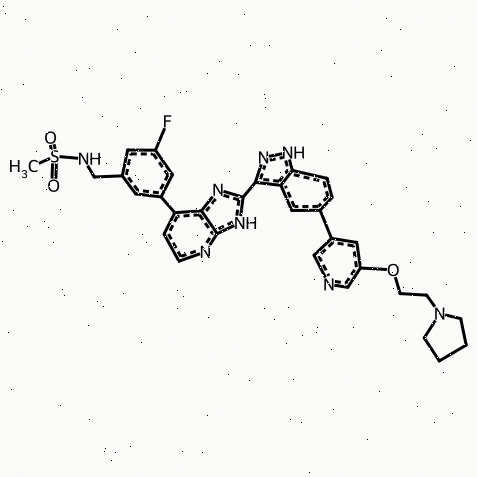 CS(=O)(=O)NCc1cc(F)cc(-c2ccnc3[nH]c(-c4n[nH]c5ccc(-c6cncc(OCCN7CCCC7)c6)cc45)nc23)c1